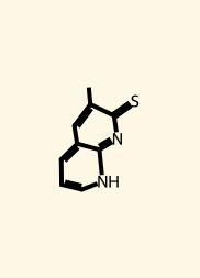 Cc1cc2ccc[nH]c-2nc1=S